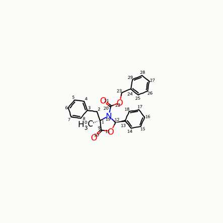 C[C@@]1(Cc2ccccc2)C(=O)O[C@H](c2ccccc2)N1C(=O)OCc1ccccc1